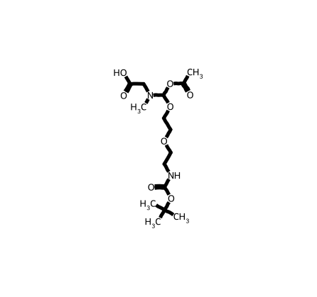 CC(=O)OC(OCCOCCNC(=O)OC(C)(C)C)N(C)CC(=O)O